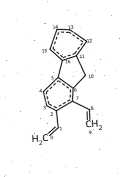 C=Cc1ccc2c(c1C=C)Cc1ccccc1-2